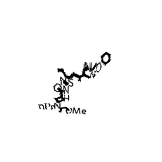 C=Cc1nc(NC(=O)C2CC(N(CCC)C(C)COC)C2)sc1/C=C(\C)C1=CN(C)C(COC2CCCCC2)N=C1